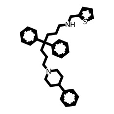 c1ccc(C2CCN(CCCC(CCCNCc3cccs3)(c3ccccc3)c3ccccc3)CC2)cc1